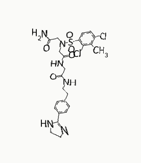 Cc1c(Cl)ccc(S(=O)(=O)N(CC(N)=O)CC(=O)NCC(=O)NCCc2ccc(C3=NCCN3)cc2)c1Cl